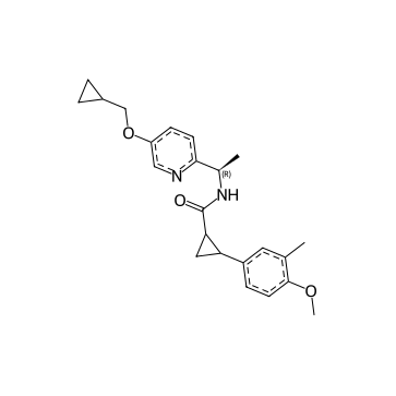 COc1ccc(C2CC2C(=O)N[C@H](C)c2ccc(OCC3CC3)cn2)cc1C